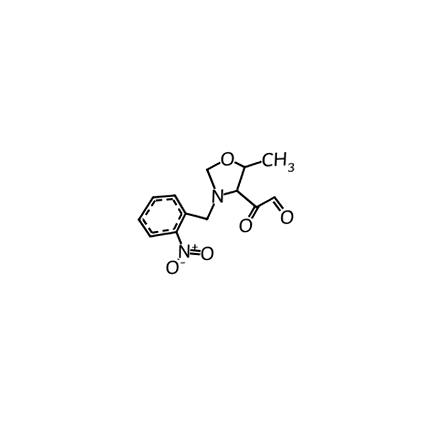 CC1OCN(Cc2ccccc2[N+](=O)[O-])C1C(=O)C=O